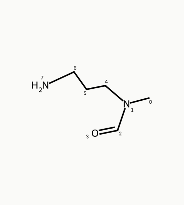 CN(C=O)CCCN